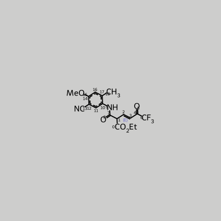 CCOC(=O)C(/C=C/C(=O)C(F)(F)F)C(=O)Nc1cc(C#N)c(OC)cc1C